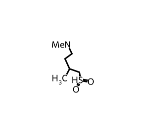 CNCCC(C)C[SH](=O)=O